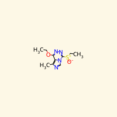 CCOc1nnc([S+]([O-])CC)n2cnc(C)c12